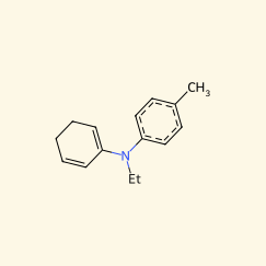 CCN(C1=CCCC=C1)c1ccc(C)cc1